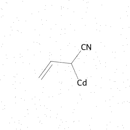 C=C[CH]([Cd])C#N